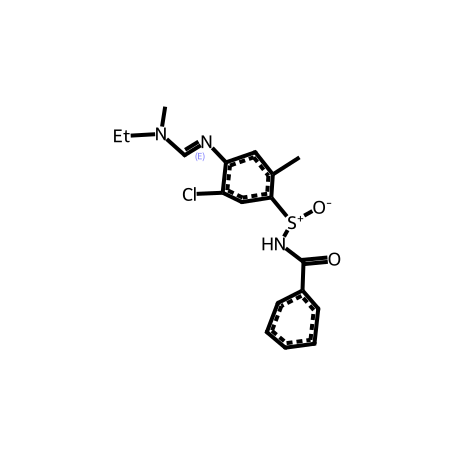 CCN(C)/C=N/c1cc(C)c([S+]([O-])NC(=O)c2ccccc2)cc1Cl